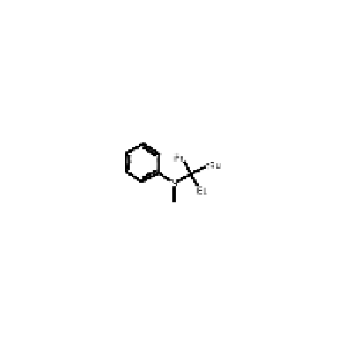 CCC(C(C)C)(N(C)c1ccccc1)C(C)(C)C